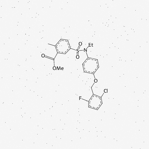 CCN(c1ccc(OCc2c(F)cccc2Cl)cc1)S(=O)(=O)c1ccc(C)c(C(=O)OC)c1